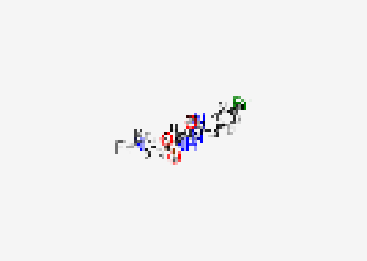 CCN(CC)CCCS(=O)(=O)N[C@H](C)c1nc(Cc2ccc(Br)cc2)no1